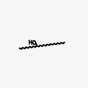 CCCCCCCCCCCCCCCCC(CO)CCCCCCCCCC